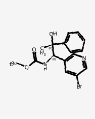 CC(C)(C)OC(=O)N[C@H](c1cncc(Br)c1)[C@](C)(O)c1ccccc1